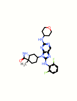 CC1(C(N)=O)CCC(n2c(Nc3c(F)cccc3F)nc3cnc(NC4CCOCC4)nc32)CC1